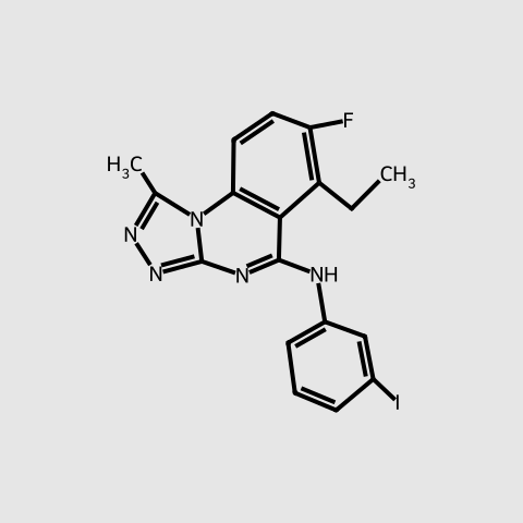 CCc1c(F)ccc2c1c(Nc1cccc(I)c1)nc1nnc(C)n12